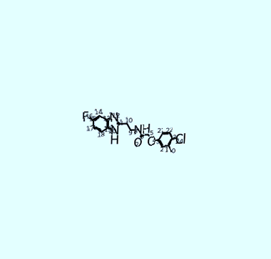 Cc1cc(OCC(=O)NCCc2nc3cc(F)ccc3[nH]2)ccc1Cl